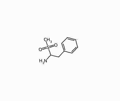 CS(=O)(=O)C(N)Cc1cc[c]cc1